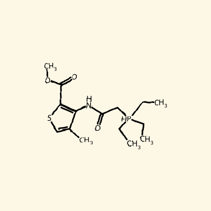 CC[PH](CC)(CC)CC(=O)Nc1c(C)csc1C(=O)OC